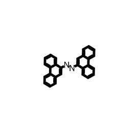 c1ccc2c(c1)cc(N=Nc1cc3ccccc3c3ccccc13)c1ccccc12